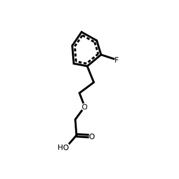 O=C(O)COCCc1ccccc1F